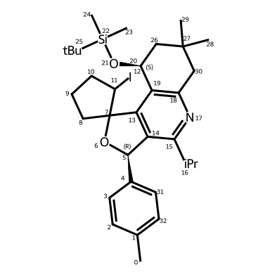 Cc1ccc([C@H]2OC3(CCCC3I)c3c2c(C(C)C)nc2c3[C@@H](O[Si](C)(C)C(C)(C)C)CC(C)(C)C2)cc1